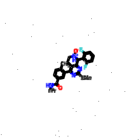 CCCNC(=O)c1ccc(C)c(-c2nc(SC)nc3c2CC[NH+]([O-])C3c2c(F)cccc2F)c1